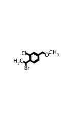 COCc1ccc(C(C)Br)c(Cl)c1